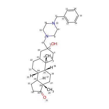 C[C@]12CCC(O)(CN3CCN(Cc4ccccc4)CC3)CC1CC[C@@H]1[C@H]2CC[C@]2(C)C(=O)CC[C@@H]12